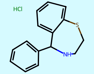 Cl.c1ccc(C2NCCSc3ccccc32)cc1